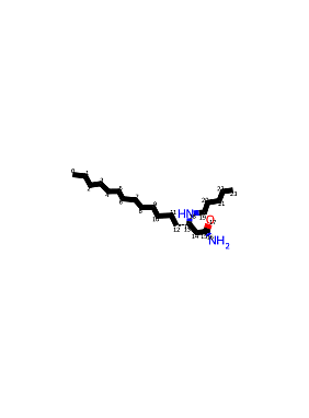 CCCCCCCCCCCCC[C@@H](CC(N)=O)NCCCCC